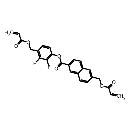 C=CC(=O)OCc1ccc2cc(C(=O)Oc3ccc(COC(=O)C=C)c(F)c3F)ccc2c1